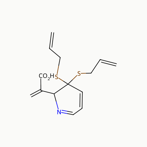 C=CCSC1(SCC=C)C=CC=NC1C(=C)C(=O)O